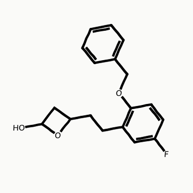 OC1CC(CCc2cc(F)ccc2OCc2ccccc2)O1